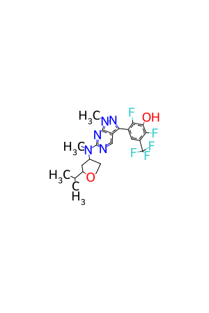 CC(C)C1CC(N(C)c2ncc3c(-c4cc(C(F)(F)F)c(F)c(O)c4F)nn(C)c3n2)CCO1